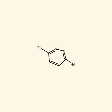 [2H]c1ccc([2H])nn1